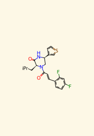 CC(C)C[C@H]1C(=O)N[C@@H](c2ccsc2)CN1C(=O)C=Cc1ccc(F)cc1F